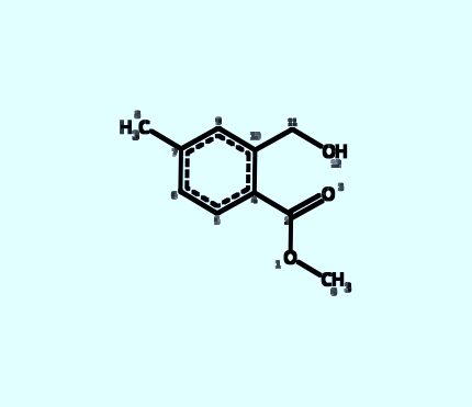 COC(=O)c1ccc(C)cc1CO